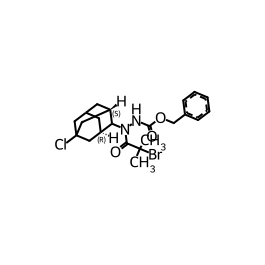 CC(C)(Br)C(=O)N(NC(=O)OCc1ccccc1)C1[C@@H]2CC3C[C@H]1CC(Cl)(C3)C2